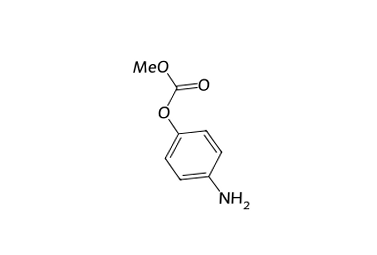 COC(=O)Oc1ccc(N)cc1